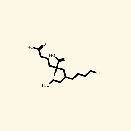 CCCCCC(CCC)CC(I)(CCCC(=O)O)C(=O)O